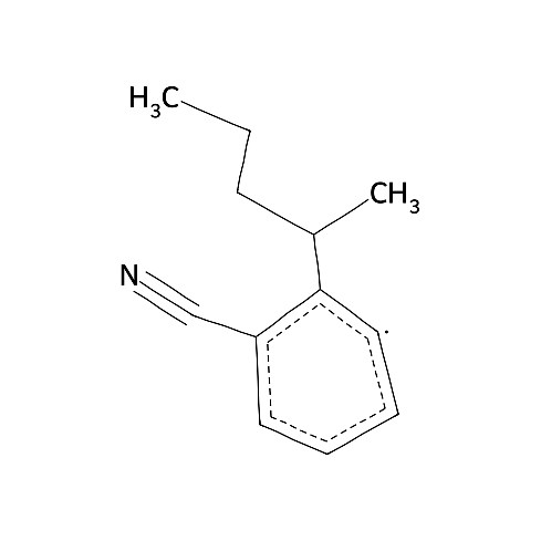 CCCC(C)c1[c]cccc1C#N